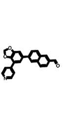 O=Cc1ccc2cc(-c3cc4c(c(-c5ccncc5)c3)OCO4)ccc2c1